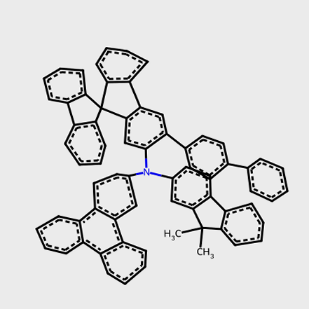 CC1(C)c2ccccc2-c2ccc(N(c3ccc4c5ccccc5c5ccccc5c4c3)c3cc4c(cc3-c3ccc(-c5ccccc5)cc3)-c3ccccc3C43c4ccccc4-c4ccccc43)cc21